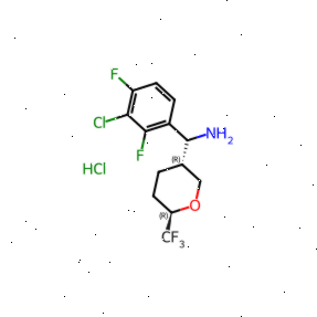 Cl.NC(c1ccc(F)c(Cl)c1F)[C@H]1CC[C@H](C(F)(F)F)OC1